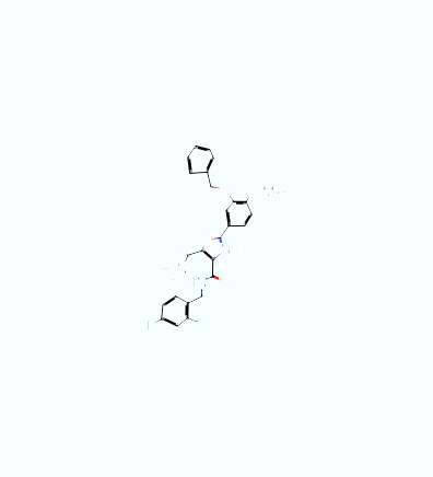 COc1ccc(-c2nc(C(=O)NCc3ccc(F)cc3F)c([C@H](C)N)o2)cc1OCc1ccccc1